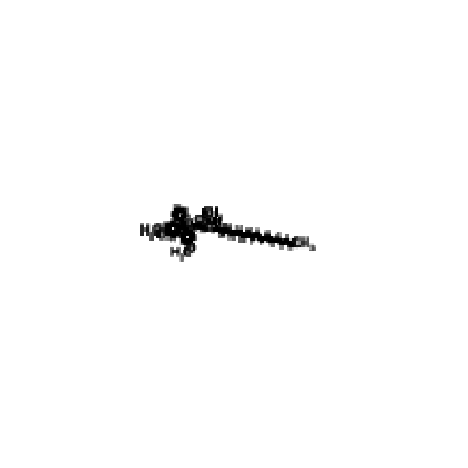 CCCCCCCCCCCCCCCCCCOCC(COC(c1ccccc1)(c1ccc(OC)cc1)c1ccc(OC)cc1)OP(C)C